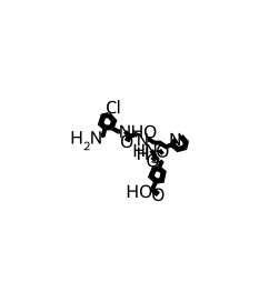 NCc1ccc(Cl)cc1CNC(=O)CNC(=O)C(CCc1ccccn1)NS(=O)(=O)Cc1ccc(C(=O)O)cc1